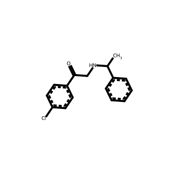 CC(NCC(=O)c1ccc(Cl)cc1)c1ccccc1